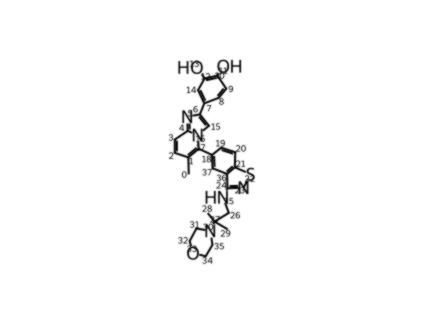 Cc1ccc2nc(-c3ccc(O)c(O)c3)cn2c1-c1ccc2snc(NCC(C)(C)N3CCOCC3)c2c1